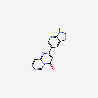 O=c1cc(-c2cnc3[nH]ccc3c2)nc2ccccn12